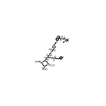 C#C[C@H]1CC(F)(F)CN1C(=O)CNC(=O)c1ccnc2ccc(OCCCN3CCN(C(=O)[C@H](O)CSCCNC(=O)C(CSCCNC(=O)CCCc4ccc(C)cc4)NC(=O)CN4CCN(COC=O)CCN(COC=O)CCN(CC(=O)O)CC4)CC3)cc12